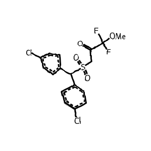 COC(F)(F)C(=O)CS(=O)(=O)C(c1ccc(Cl)cc1)c1ccc(Cl)cc1